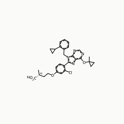 C[C@H](CCOc1ccc(-c2nc3c(OC4(C)CC4)ncnc3n2Cc2ccccc2C2CC2)c(Cl)c1)C(=O)O